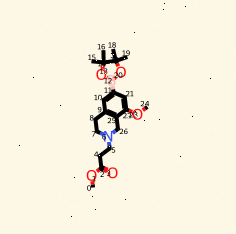 COC(=O)CCN1CCc2cc(B3OC(C)(C)C(C)(C)O3)cc(OC)c2C1